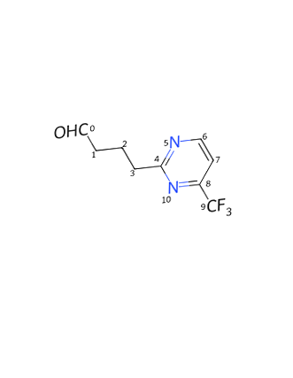 O=CCCCc1nccc(C(F)(F)F)n1